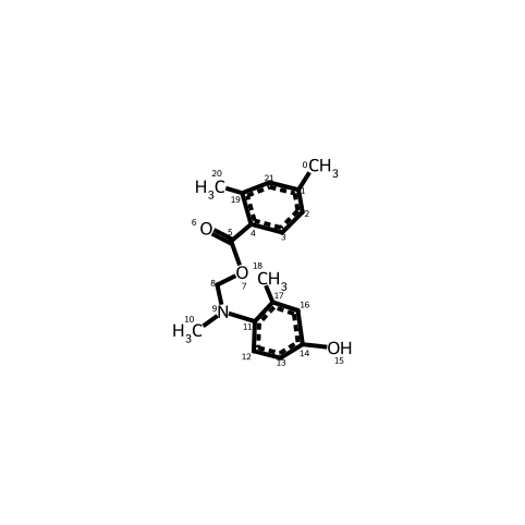 Cc1ccc(C(=O)OCN(C)c2ccc(O)cc2C)c(C)c1